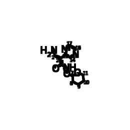 NC=C(C(=O)NOC1CCCCO1)c1cnccn1